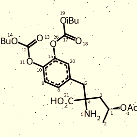 CC(=O)O[C@@H](C)CC(N)(Cc1ccc(OC(=O)OCC(C)C)c(OC(=O)OCC(C)C)c1)C(=O)O